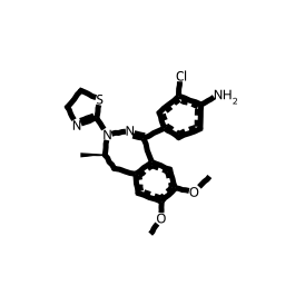 COc1cc2c(cc1OC)C(c1ccc(N)c(Cl)c1)=NN(C1=NCCS1)[C@H](C)C2